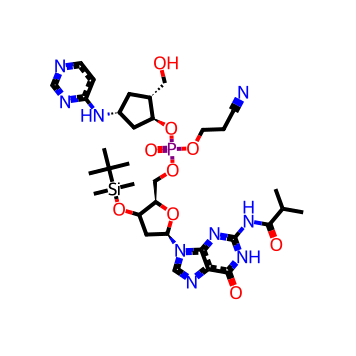 CC(C)C(=O)Nc1nc2c(ncn2[C@H]2CC(O[Si](C)(C)C(C)(C)C)[C@@H](COP(=O)(OCCC#N)O[C@H]3C[C@H](Nc4ccncn4)C[C@@H]3CO)O2)c(=O)[nH]1